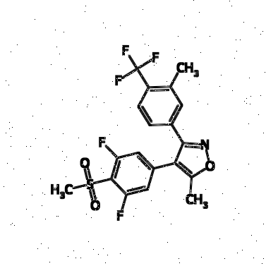 Cc1cc(-c2noc(C)c2-c2cc(F)c(S(C)(=O)=O)c(F)c2)ccc1C(F)(F)F